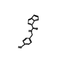 O=C(NCc1ccc(O)cc1)C1=CC=C2C=CC=C21